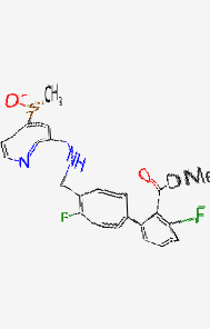 COC(=O)c1c(F)cccc1-c1ccc(CNc2cc([S+](C)[O-])ccn2)c(F)c1